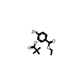 CC(C)(C)C(=O)[O-].CCOC(=O)c1cc[c]([Zn+])cc1